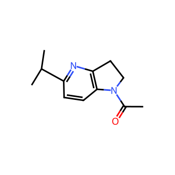 CC(=O)N1CCc2nc(C(C)C)ccc21